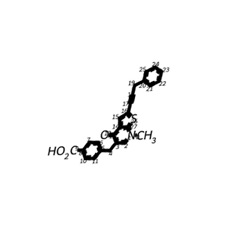 Cn1cc(Cc2ccc(C(=O)O)cc2)c(=O)c2cc(C#CCc3ccccc3)sc21